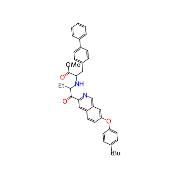 CCC(NC(Cc1ccc(-c2ccccc2)cc1)C(=O)OC)C(=O)c1cc2ccc(Oc3ccc(C(C)(C)C)cc3)cc2cn1